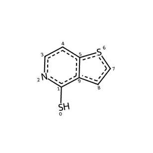 Sc1nccc2sccc12